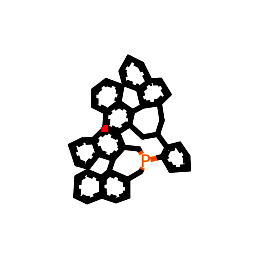 c1ccc(P2Cc3ccc4ccccc4c3-c3c(ccc4ccccc34)C2)c(C2Cc3ccc4ccccc4c3-c3c(ccc4ccccc34)C2)c1